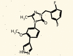 COc1cc(-n2c(C)nn(Cc3cc(F)ccc3F)c2=O)ccc1-c1cn[nH]c1